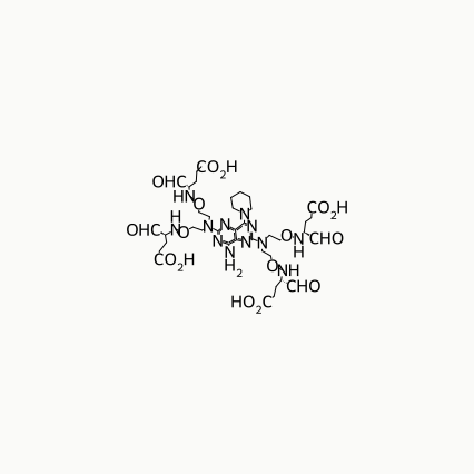 Nc1nc(N(CCON[C@H](C=O)CCC(=O)O)CCON[C@H](C=O)CCC(=O)O)nc2c(N3CCCCC3)nc(N(CCON[C@H](C=O)CCC(=O)O)CCON[C@H](C=O)CCC(=O)O)nc12